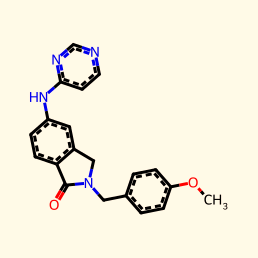 COc1ccc(CN2Cc3cc(Nc4ccncn4)ccc3C2=O)cc1